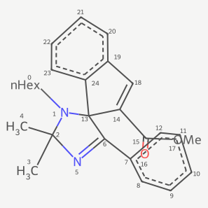 CCCCCCN1C(C)(C)N=C(c2ccccc2)C12C(C(=O)OC)=Cc1ccccc12